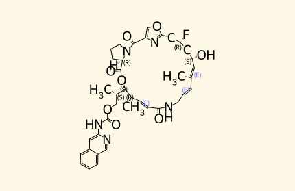 CC1=C\[C@@H](O)C[C@@H](F)Cc2nc(co2)C(=O)N2CCC[C@@H]2C(=O)O[C@H]([C@@H](C)COC(=O)Nc2cc3ccccc3cn2)[C@H](C)/C=C/C(=O)NC\C=C\1